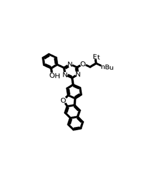 CCCCC(CC)COc1nc(-c2ccc3c(c2)oc2cc4ccccc4cc23)nc(-c2ccccc2O)n1